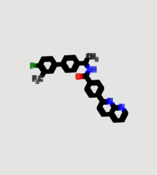 CC(NC(=O)c1ccc(-c2ccc3cccnc3n2)cc1)c1ccc(-c2ccc(F)c(C(F)(F)F)c2)cc1